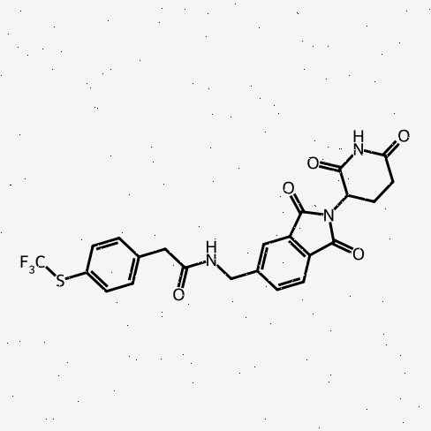 O=C(Cc1ccc(SC(F)(F)F)cc1)NCc1ccc2c(c1)C(=O)N(C1CCC(=O)NC1=O)C2=O